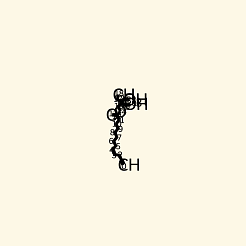 C#CC/C=C\CCCCCCCC(=O)OCC(CC)(CO)CO